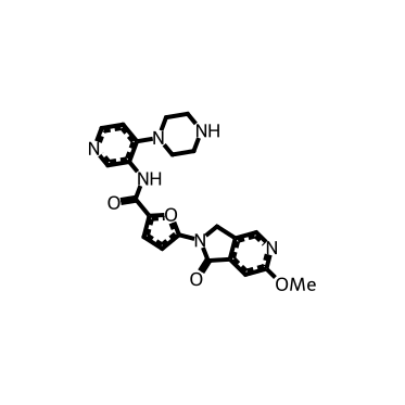 COc1cc2c(cn1)CN(c1ccc(C(=O)Nc3cnccc3N3CCNCC3)o1)C2=O